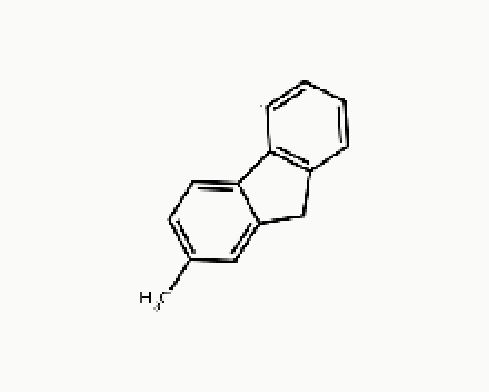 Cc1ccc2c(c1)Cc1ccc[c]c1-2